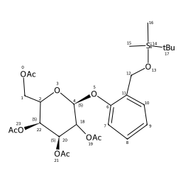 CC(=O)OCC1O[C@@H](Oc2ccccc2CO[Si](C)(C)C(C)(C)C)C(OC(C)=O)[C@@H](OC(C)=O)[C@H]1OC(C)=O